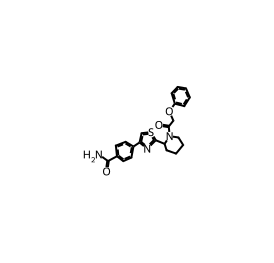 NC(=O)c1ccc(-c2csc(C3CCCCN3C(=O)COc3ccccc3)n2)cc1